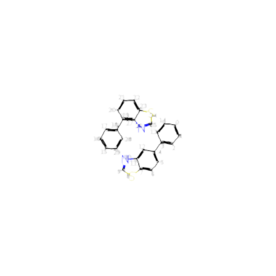 c1ccc(-c2ccc3scnc3c2)cc1.c1ccc(-c2cccc3scnc23)cc1